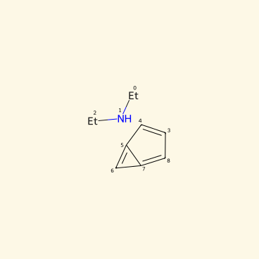 CCNCC.c1cc2cc-2c1